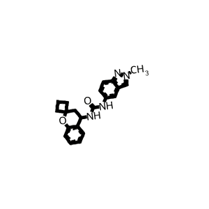 Cn1cc2cc(NC(=O)NC3CC4(CCC4)Oc4ccccc43)ccc2n1